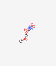 CCOC(=O)c1nnn(C[C@@H](O)COc2ccc(C(=O)OCc3ccccc3)cc2)n1